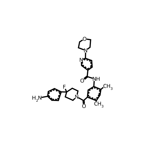 Cc1cc(C)c(C(=O)N2CCC(F)(c3ccc(N)cc3)CC2)cc1NC(=O)c1ccc(N2CCOCC2)nc1